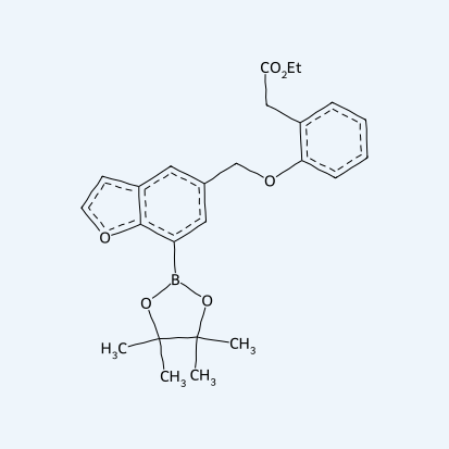 CCOC(=O)Cc1ccccc1OCc1cc(B2OC(C)(C)C(C)(C)O2)c2occc2c1